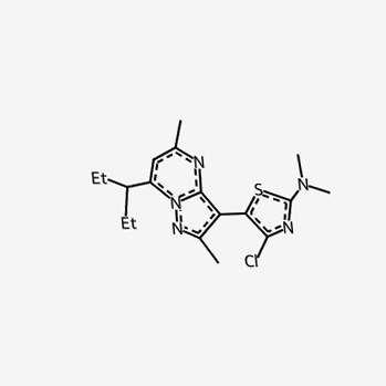 CCC(CC)c1cc(C)nc2c(-c3sc(N(C)C)nc3Cl)c(C)nn12